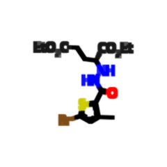 CCOC(=O)CC[C@H](NNC(=O)c1sc(Br)cc1C)C(=O)OCC